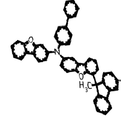 CC1(c2cccc3c2oc2ccc(N(c4ccc(-c5ccccc5)cc4)c4ccc5c(c4)oc4ccccc45)cc23)c2ccccc2-c2ccccc21